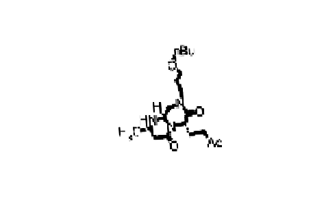 CCCCOCCCN1C[C@@H]2NN(C)CC(=O)N2[C@@H](CCC(C)=O)C1=O